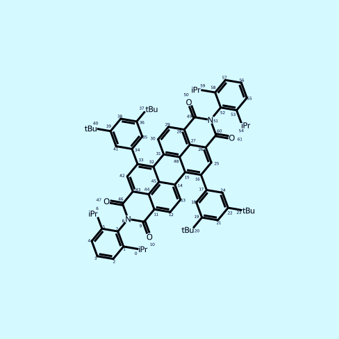 CC(C)c1cccc(C(C)C)c1N1C(=O)c2ccc3c4c(-c5cc(C(C)(C)C)cc(C(C)(C)C)c5)cc5c6c(ccc(c7c(-c8cc(C(C)(C)C)cc(C(C)(C)C)c8)cc(c2c37)C1=O)c64)C(=O)N(c1c(C(C)C)cccc1C(C)C)C5=O